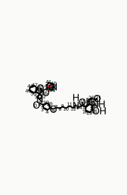 O=C(c1ccc(OCCCCCCNCC(O)c2ccc(O)c3[nH]c(=O)ccc23)cc1)N1CC(C(=O)OC2CN3CCC2CC3)(c2ccccc2)C1